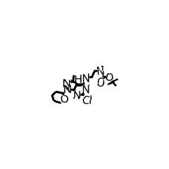 Cc1nn(C2CCCCO2)c2nc(Cl)nc(NCCN(C)C(=O)OC(C)(C)C)c12